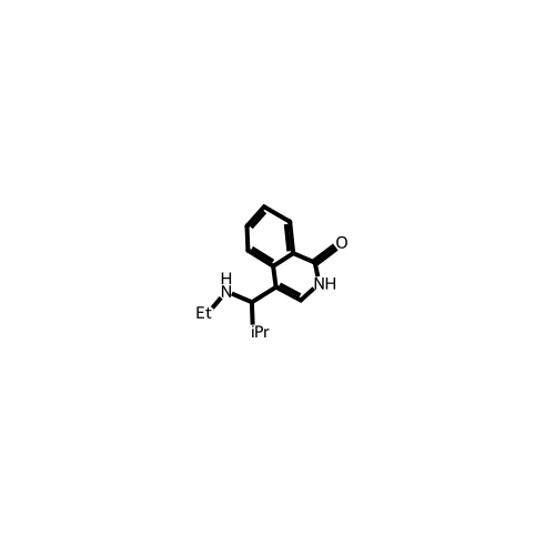 CCNC(c1c[nH]c(=O)c2ccccc12)C(C)C